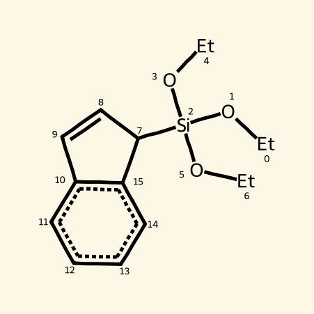 CCO[Si](OCC)(OCC)C1C=Cc2ccccc21